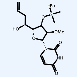 C=CC[C@H](O)[C@H]1O[C@@H](n2ccc(=O)[nH]c2=O)[C@H](OC)[C@@H]1O[Si](C)(C)C(C)(C)C